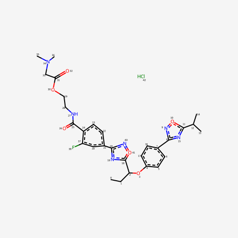 CCC(Oc1ccc(-c2noc(C(C)C)n2)cc1)c1nc(-c2ccc(C(=O)NCCOC(=O)CN(C)C)c(F)c2)no1.Cl